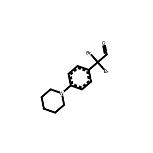 O=CC(Br)(Br)c1ccc(N2CCCCC2)cc1